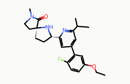 CCOc1ccc(F)c(-c2cc(C(C)C)nc([C@@H]3CC[C@@]4(CCN(C)C4=O)N3)c2)c1